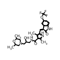 Cc1[nH]c(C=C2C(=O)Nc3ccc(OC(F)(F)F)cc32)c(C)c1C(=O)NCC(O)CN1CC(C)OC(C)C1